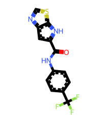 O=C(Nc1ccc(C(F)(F)F)cc1)c1cc2ncsc2[nH]1